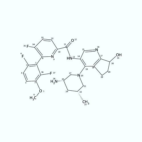 COc1ccc(F)c(-c2nc(C(=O)Nc3cnc4c(c3N3C[C@H](C)C[C@H](N)C3)CCC4O)ccc2F)c1F